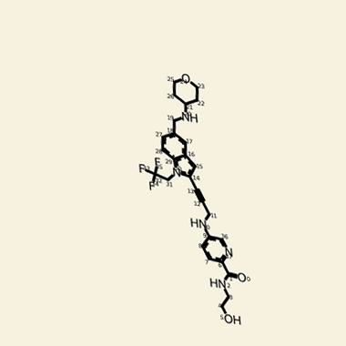 O=C(NCCO)c1ccc(NCC#Cc2cc3cc(CNC4CCOCC4)ccc3n2CC(F)(F)F)cn1